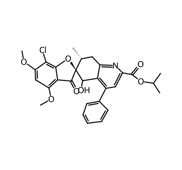 COc1cc(OC)c2c(c1Cl)O[C@]1(C2=O)C(O)c2c(-c3ccccc3)cc(C(=O)OC(C)C)nc2C[C@H]1C